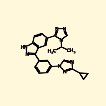 CC(C)n1cnnc1-c1ccc2[nH]nc(-c3cccc(-n4cnc(C5CC5)n4)c3)c2c1